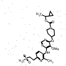 COc1c(Nc2ccc(CCS(C)(=O)=O)nc2C)ncnc1OC1CCN(C(=O)OC(C)C2CC2)CC1